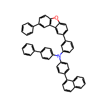 c1ccc(-c2ccc(N(c3ccc(-c4cccc5ccccc45)cc3)c3cccc(-c4ccc5oc6ccc(-c7ccccc7)cc6c5c4)c3)cc2)cc1